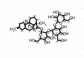 C=C1CC[C@@H]2C(CCC3[C@](C)(C(=O)OC4OC(CO)C(O)C(O)C4OC4OC(CO)C(O)C(O)C4OC4OC(CO)C(O)C(O)C4O)CCC[C@]32C)C1